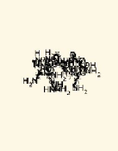 C[C@H](NC(=O)[C@@H](NC(=O)C(N)CCCCN)[C@@H](O)CN)C(=O)NCC(=O)N[C@H](CCCN)C(=O)N1CCC[C@H]1C(=O)N[C@@H](Cc1cnc[nH]1)C(=O)N[C@@H](CCCCN)C(=O)N[C@H](CCCNC(=N)N)C(N)=O